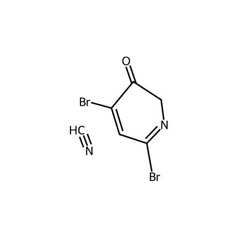 C#N.O=C1CN=C(Br)C=C1Br